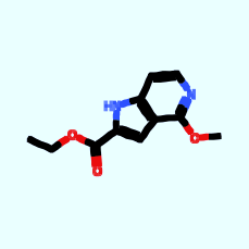 CCOC(=O)c1cc2c(OC)nccc2[nH]1